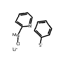 [Cl][Mg][c]1ccccn1.[Li+].[S-]c1ccccc1